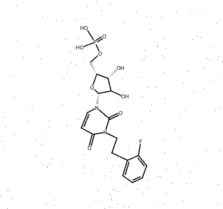 O=c1ccn([C@@H]2O[C@H](COP(=O)(O)O)[C@H](O)C2O)c(=O)n1CCc1ccccc1F